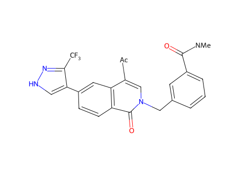 CNC(=O)c1cccc(Cn2cc(C(C)=O)c3cc(-c4c[nH]nc4C(F)(F)F)ccc3c2=O)c1